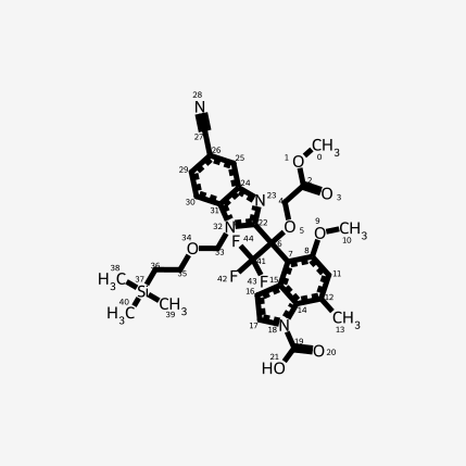 COC(=O)COC(c1c(OC)cc(C)c2c1ccn2C(=O)O)(c1nc2cc(C#N)ccc2n1COCC[Si](C)(C)C)C(F)(F)F